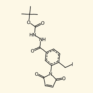 CC(C)(C)OC(=O)NNC(=O)c1ccc(CI)c(N2C(=O)C=CC2=O)c1